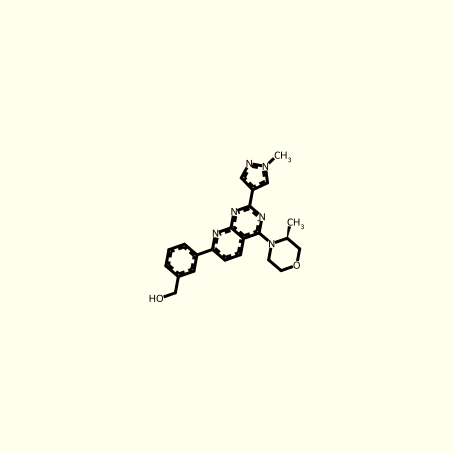 C[C@H]1COCCN1c1nc(-c2cnn(C)c2)nc2nc(-c3cccc(CO)c3)ccc12